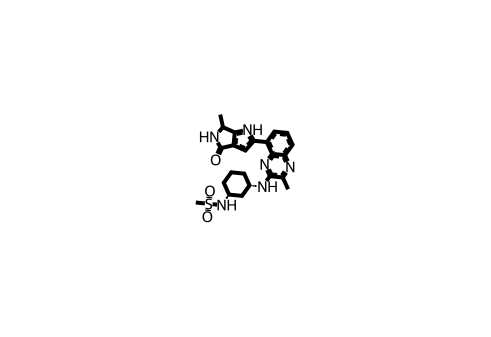 Cc1nc2cccc(-c3cc4c([nH]3)C(C)NC4=O)c2nc1N[C@H]1CCC[C@@H](NS(C)(=O)=O)C1